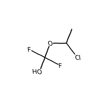 CC(Cl)OC(O)(F)F